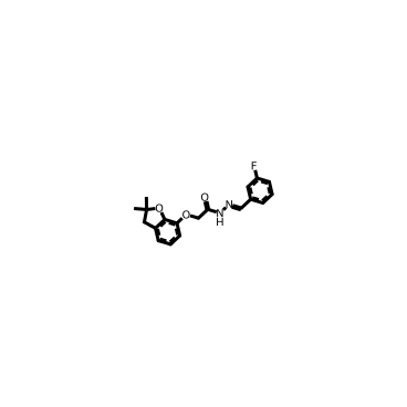 CC1(C)Cc2cccc(OCC(=O)NN=Cc3cccc(F)c3)c2O1